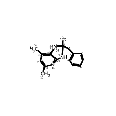 CCC1(Cc2c[c]ccc2)Nc2nc(C)cc(C)c2N1